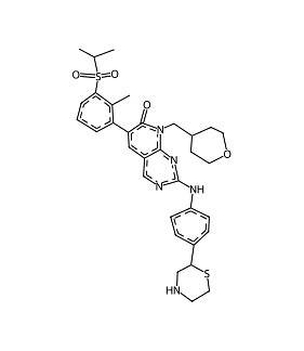 Cc1c(-c2cc3cnc(Nc4ccc(C5CNCCS5)cc4)nc3n(CC3CCOCC3)c2=O)cccc1S(=O)(=O)C(C)C